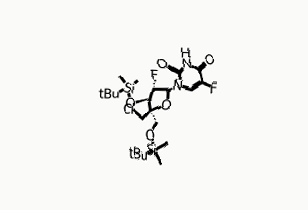 CC(C)(C)[Si](C)(C)OC[C@@]1(CCl)O[C@@H](n2cc(F)c(=O)[nH]c2=O)[C@@H](F)[C@@H]1O[Si](C)(C)C(C)(C)C